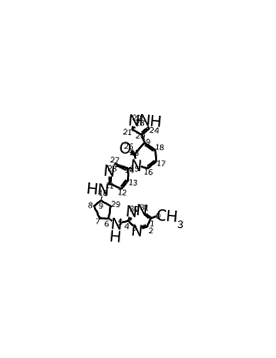 Cc1cnc(N[C@H]2CC[C@H](Nc3ccc(-n4cccc(-c5cn[nH]c5)c4=O)cn3)C2)nn1